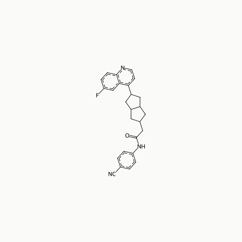 N#Cc1ccc(NC(=O)CC2CC3CC(c4ccnc5ccc(F)cc45)CC3C2)cc1